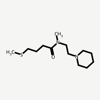 CSCCCC(=O)N(C)CCN1CCCCC1